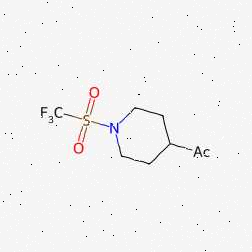 CC(=O)C1CCN(S(=O)(=O)C(F)(F)F)CC1